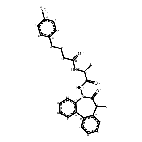 CC1C(=O)N(NC(=O)[C@H](C)NC(=O)CCCc2ccc([N+](=O)[O-])cc2)c2ccccc2-c2ccccc21